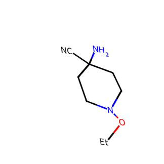 CCON1CCC(N)(C#N)CC1